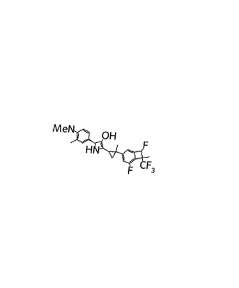 CNc1ccc([C@@H]2NC(C3CC3(C)c3cc(F)c4c(c3)C(F)C4(C)C(F)(F)F)=C2O)cc1C